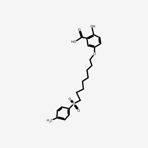 Cc1ccc(S(=O)(=O)CCCCCCCCOc2ccc(O)c(C(=O)O)c2)cc1